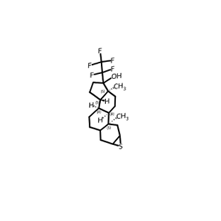 C[C@]12CC3SC3CC1CC[C@@H]1[C@H]2CC[C@@]2(C)[C@H]1CCC2(O)C(F)(F)C(F)(F)F